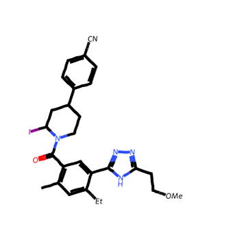 CCc1cc(C)c(C(=O)N2CCC(c3ccc(C#N)cc3)CC2I)cc1-c1nnc(CCOC)[nH]1